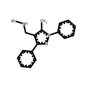 Cc1c(CNC(C)C)c(-c2ccccc2)nn1-c1ccccc1